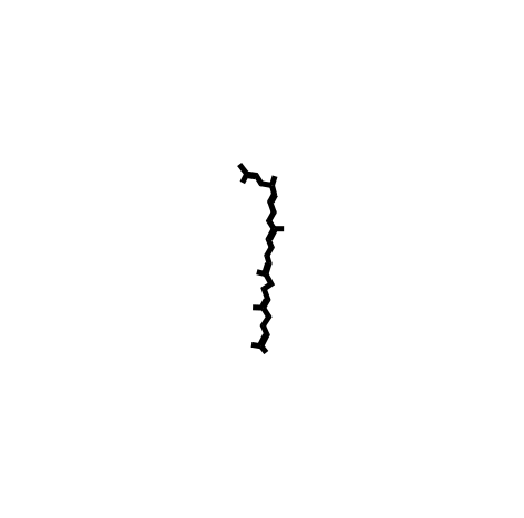 CC(C)=CCC/C(C)=C/CC/C(C)=C/CC/C=C(\C)CC/C=C/C(C)CC=C(C)C